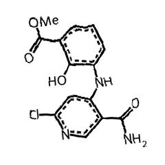 COC(=O)c1cccc(Nc2cc(Cl)ncc2C(N)=O)c1O